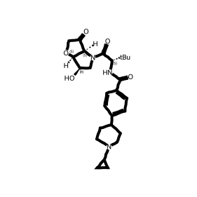 CC(C)(C)[C@H](NC(=O)c1ccc(C2CCN(C3CC3)CC2)cc1)C(=O)N1C[C@@H](O)[C@H]2OCC(=O)[C@H]21